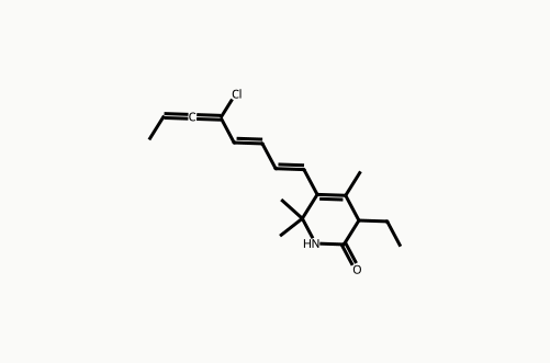 CC=C=C(Cl)/C=C/C=C/C1=C(C)C(CC)C(=O)NC1(C)C